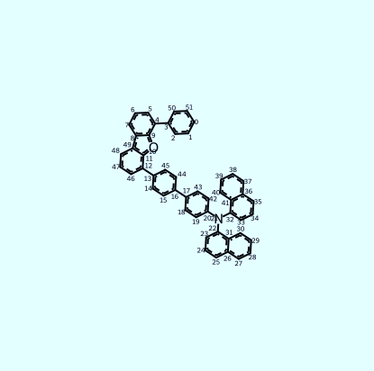 c1ccc(-c2cccc3c2oc2c(-c4ccc(-c5ccc(N(c6cccc7ccccc67)c6cccc7ccccc67)cc5)cc4)cccc23)cc1